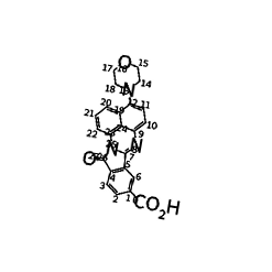 O=C(O)c1ccc2c(c1)C1=Nc3ccc(N4CCOCC4)c4cccc(c34)N1C2=O